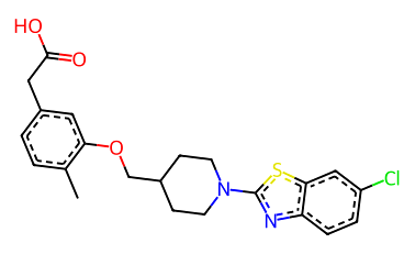 Cc1ccc(CC(=O)O)cc1OCC1CCN(c2nc3ccc(Cl)cc3s2)CC1